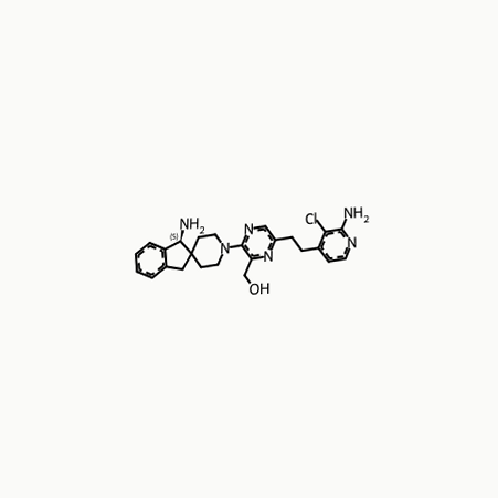 Nc1nccc(CCc2cnc(N3CCC4(CC3)Cc3ccccc3[C@H]4N)c(CO)n2)c1Cl